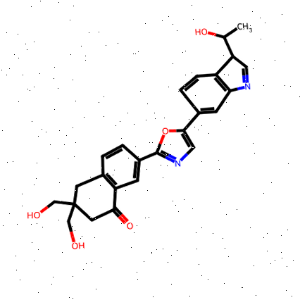 CC(O)C1C=Nc2cc(-c3cnc(-c4ccc5c(c4)C(=O)CC(CO)(CO)C5)o3)ccc21